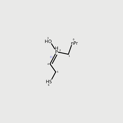 CCCC/[PH](O)=C\CS